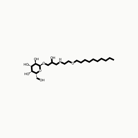 CCCCCCCCCCOCCNCC(O)CO[C@H]1O[C@H](CO)[C@H](O)[C@H](O)[C@H]1O